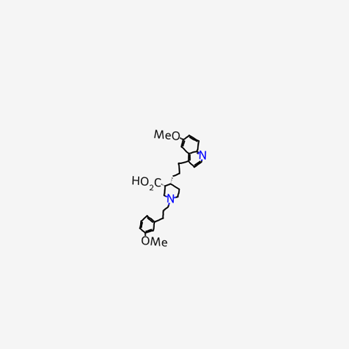 COc1cccc(CCCN2CC[C@@H](CCCc3ccnc4ccc(OC)cc34)[C@@H](C(=O)O)C2)c1